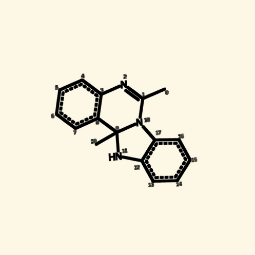 CC1=Nc2ccccc2C2(C)Nc3ccccc3N12